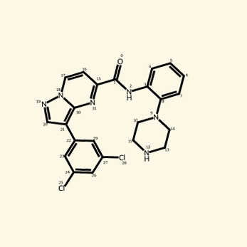 O=C(Nc1ccccc1N1CCNCC1)c1ccn2ncc(-c3cc(Cl)cc(Cl)c3)c2n1